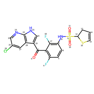 O=C(c1c(F)ccc(NS(=O)(=O)C2CC=CS2)c1F)c1c[nH]c2ncc(Cl)cc12